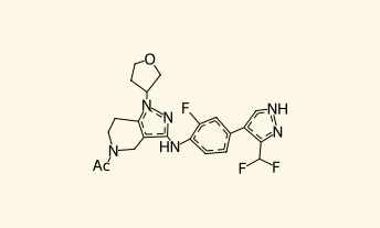 CC(=O)N1CCc2c(c(Nc3ccc(-c4c[nH]nc4C(F)F)cc3F)nn2C2CCOC2)C1